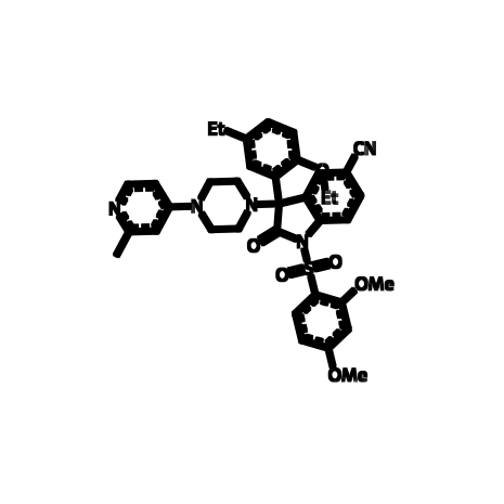 CCOc1ccc(CC)cc1C1(N2CCN(c3ccnc(C)c3)CC2)C(=O)N(S(=O)(=O)c2ccc(OC)cc2OC)c2ccc(C#N)cc21